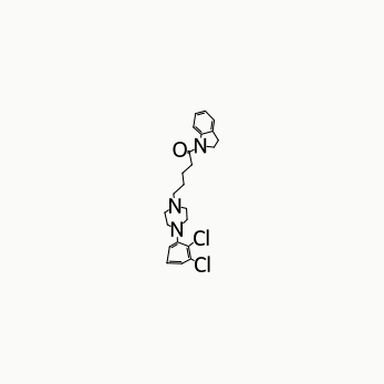 O=C(CCCCN1CCN(c2cccc(Cl)c2Cl)CC1)N1CCc2ccccc21